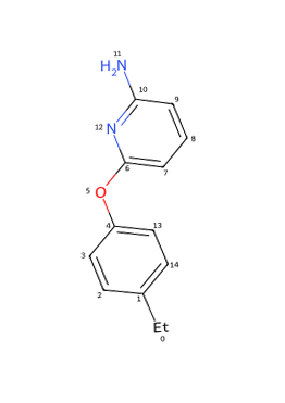 [CH2]Cc1ccc(Oc2cccc(N)n2)cc1